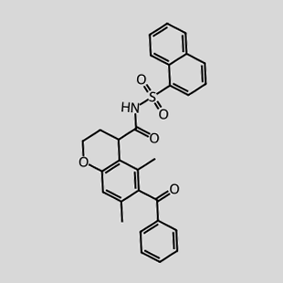 Cc1cc2c(c(C)c1C(=O)c1ccccc1)C(C(=O)NS(=O)(=O)c1cccc3ccccc13)CCO2